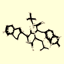 Cc1nc2ccc(C(C(=O)NC(C)(C)C)N3C(=O)C(C4Cc5ccccc5C4)NC(=O)C3CC(C)C)cc2o1